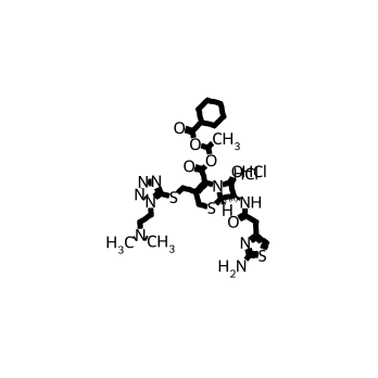 CC(OC(=O)C1=C(CSc2nnnn2CCN(C)C)CS[C@H]2[C@H](NC(=O)Cc3csc(N)n3)C(=O)N12)OC(=O)C1CCCCC1.Cl.Cl